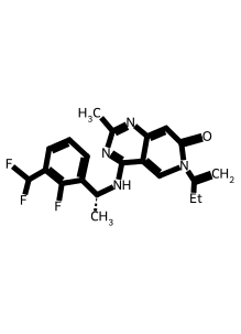 C=C(CC)n1cc2c(N[C@H](C)c3cccc(C(F)F)c3F)nc(C)nc2cc1=O